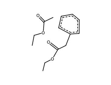 CCOC(=O)Cc1ccccc1.CCOC(C)=O